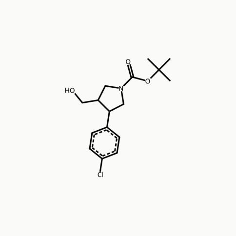 CC(C)(C)OC(=O)N1CC(CO)C(c2ccc(Cl)cc2)C1